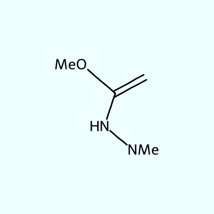 C=C(NNC)OC